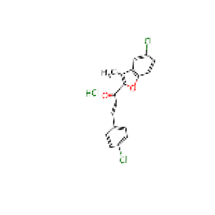 Cc1c(C(=O)C=Cc2ccc(Cl)cc2)oc2ccc(Cl)cc12.Cl